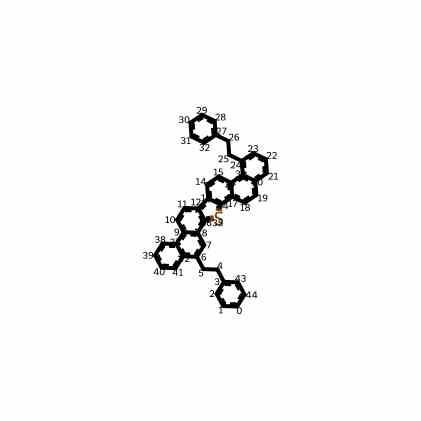 c1ccc(CCc2cc3c(ccc4c5ccc6c(ccc7cccc(CCc8ccccc8)c76)c5sc34)c3ccccc23)cc1